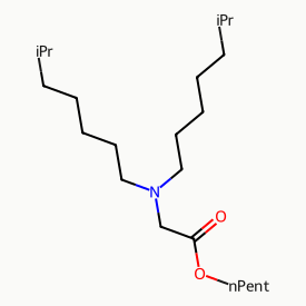 CCCCCOC(=O)CN(CCCCCC(C)C)CCCCCC(C)C